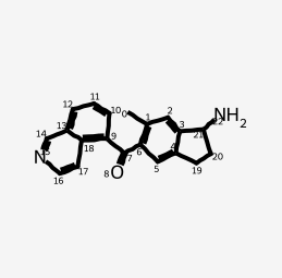 Cc1cc2c(cc1C(=O)c1cccc3cnccc13)CCC2N